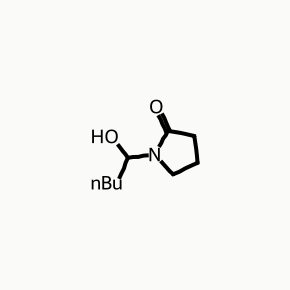 CCCCC(O)N1CCCC1=O